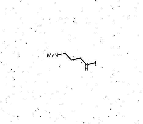 CNCCCNI